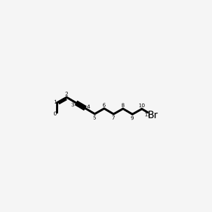 C/C=C\C#CCCCCCCBr